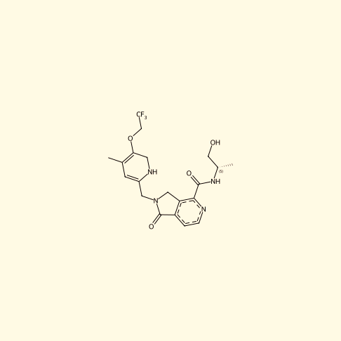 CC1=C(OCC(F)(F)F)CNC(CN2Cc3c(ccnc3C(=O)N[C@@H](C)CO)C2=O)=C1